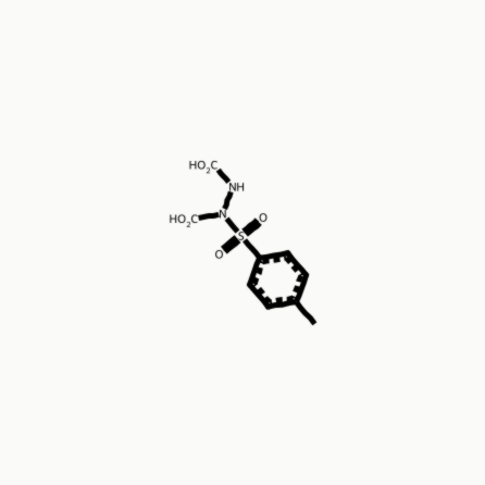 Cc1ccc(S(=O)(=O)N(NC(=O)O)C(=O)O)cc1